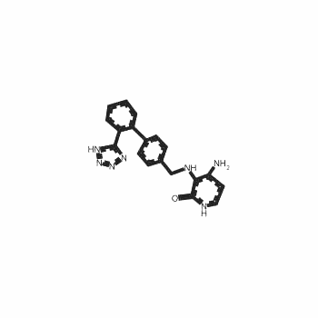 Nc1cc[nH]c(=O)c1NCc1ccc(-c2ccccc2-c2nnn[nH]2)cc1